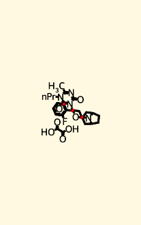 CCCn1c(C)nc(=O)n(CCCN2C3CCC2CC(OCc2ccccc2F)C3)c1=O.O=C(O)C(=O)O